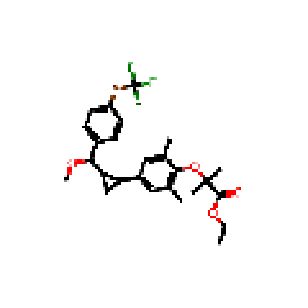 CCOC(=O)C(C)(C)Oc1c(C)cc(C2CC2C(OC)c2ccc(SC(F)(F)F)cc2)cc1C